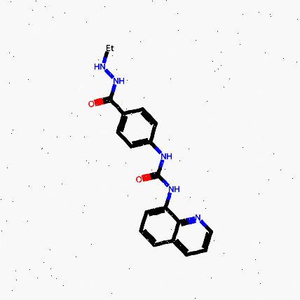 CCNNC(=O)c1ccc(NC(=O)Nc2cccc3cccnc23)cc1